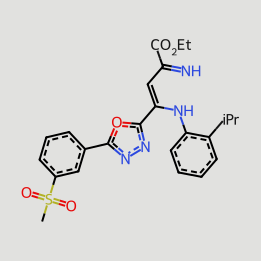 CCOC(=O)C(=N)/C=C(\Nc1ccccc1C(C)C)c1nnc(-c2cccc(S(C)(=O)=O)c2)o1